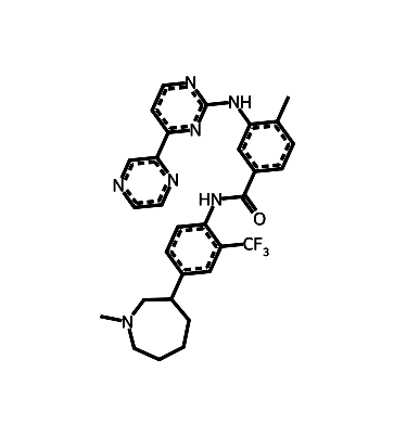 Cc1ccc(C(=O)Nc2ccc(C3CCCCN(C)C3)cc2C(F)(F)F)cc1Nc1nccc(-c2cnccn2)n1